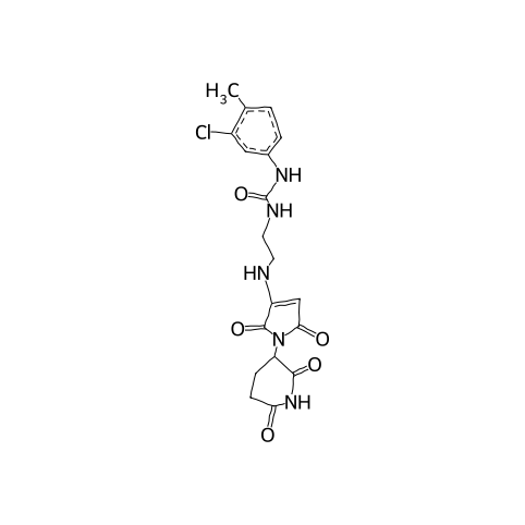 Cc1ccc(NC(=O)NCCNC2=CC(=O)N(C3CCC(=O)NC3=O)C2=O)cc1Cl